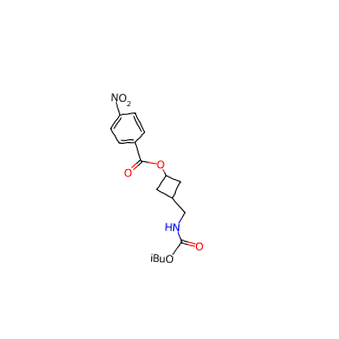 CC(C)COC(=O)NCC1CC(OC(=O)c2ccc([N+](=O)[O-])cc2)C1